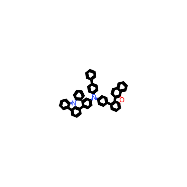 c1ccc(-c2ccc(N(c3ccc(-c4cccc5oc6c7ccccc7ccc6c45)cc3)c3ccc(-c4cccc5c6ccccc6n(-c6ccccc6)c45)cc3)cc2)cc1